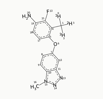 [2H]C([2H])([2H])c1c(Oc2ccc3c(c2)nnn3C)ccc(N)c1F